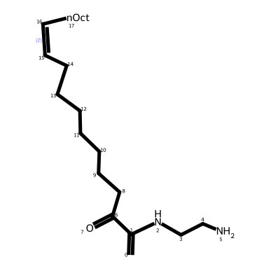 C=C(NCCN)C(=O)CCCCCCC/C=C\CCCCCCCC